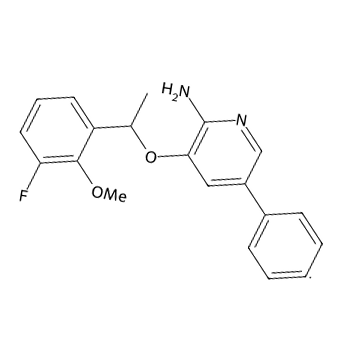 COc1c(F)cccc1C(C)Oc1cc(-c2cc[c]cc2)cnc1N